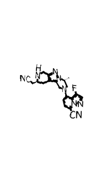 C[C@@H]1CN(c2ccc(C#N)n3ncc(F)c23)Cc2c3c(nn21)CN[C@H](CC#N)C3